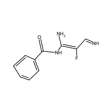 N=C/C(F)=C(\N)NC(=O)c1ccccc1